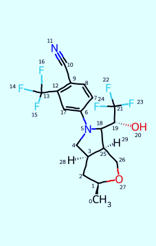 C[C@H]1C[C@H]2CN(c3ccc(C#N)c(C(F)(F)F)c3)C([C@@H](O)C(F)(F)F)[C@H]2CO1